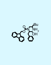 CCC(C)C(N)CN(C(=O)OCC1c2ccccc2-c2ccccc21)C(CO)Cc1ccccc1